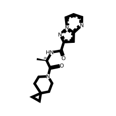 C[C@@H](NC(=O)c1cc2ncccn2n1)C(=O)N1CCC2(CC1)CC2